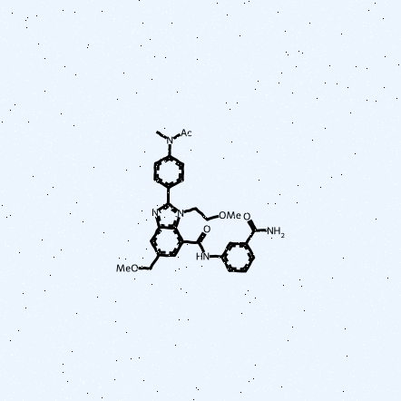 COCCn1c(-c2ccc(N(C)C(C)=O)cc2)nc2cc(COC)cc(C(=O)Nc3cccc(C(N)=O)c3)c21